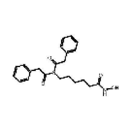 O=C(CCCCCN(C(=O)Cc1ccccc1)C(=O)Cc1ccccc1)NO